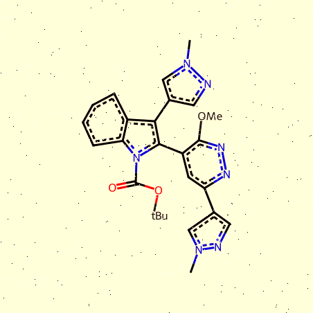 COc1nnc(-c2cnn(C)c2)cc1-c1c(-c2cnn(C)c2)c2ccccc2n1C(=O)OC(C)(C)C